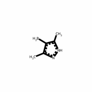 Bc1c(C)n[nH]c1C